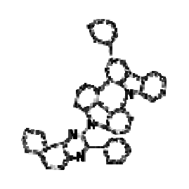 c1ccc(-c2cc3c4cccc5c4c4c(cccc4n4c6ccccc6c(c2)c34)n5-c2nc3c(ccc4ccccc43)nc2-c2ccccc2)cc1